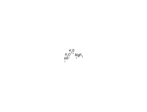 O.O.[KH].[MgH2]